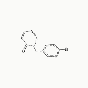 CCc1ccc(CC2N=CC=CC2=O)cc1